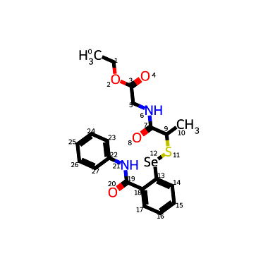 CCOC(=O)CNC(=O)C(C)S[Se]c1ccccc1C(=O)Nc1ccccc1